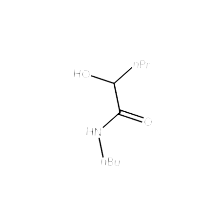 CCCCNC(=O)C(O)CCC